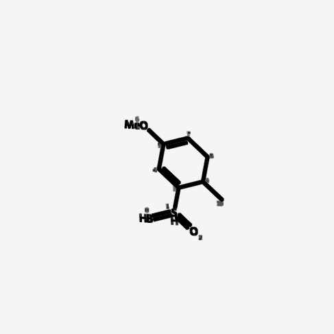 B=[SH](=O)C1=CC(OC)=CCC1C